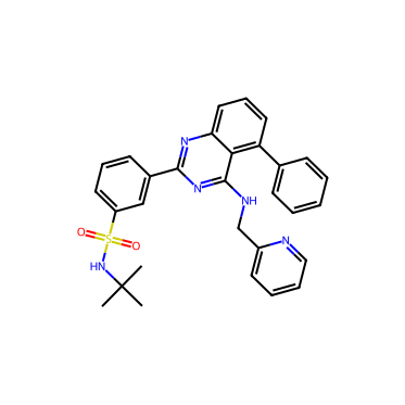 CC(C)(C)NS(=O)(=O)c1cccc(-c2nc(NCc3ccccn3)c3c(-c4ccccc4)cccc3n2)c1